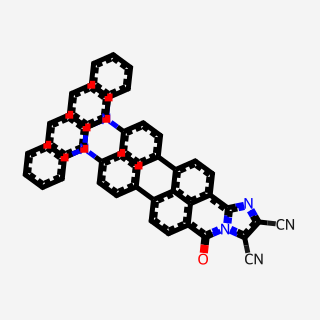 N#Cc1nc2c3ccc(-c4ccc(N(c5ccccc5)c5ccccc5)cc4)c4c(-c5ccc(N(c6ccccc6)c6ccccc6)cc5)ccc(c(=O)n2c1C#N)c43